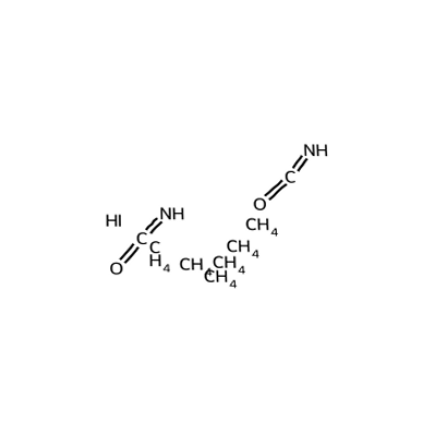 C.C.C.C.C.C.I.N=C=O.N=C=O